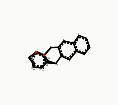 c1ccc2cc3c(cc2c1)C1c2ccncc2C3c2ncncc21